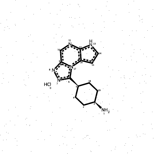 Cl.N[C@H]1CC[C@@H](c2nnc3cnc4[nH]ccc4n32)CC1